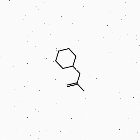 C=C(C)C[C]1CC[CH]CC1